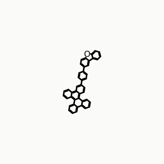 c1ccc2c(c1)oc1ccc(-c3ccc(-c4ccc5c(c4)c4ccccc4c4c6ccccc6c6ccccc6c54)cc3)cc12